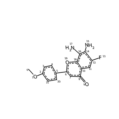 COc1ccc(-c2cc(=O)c3cc(F)c(N)c(N)c3o2)cc1